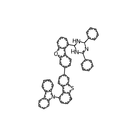 c1ccc(C2=NC(c3ccccc3)NC(c3cccc4oc5cc(-c6ccc7c(c6)sc6cccc(-n8c9ccccc9c9ccccc98)c67)ccc5c34)N2)cc1